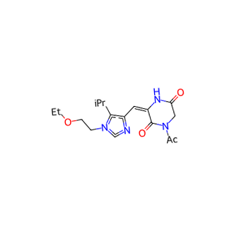 CCOCCn1cnc(C=C2NC(=O)CN(C(C)=O)C2=O)c1C(C)C